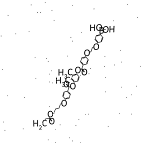 C=CC(=O)OCCCCOc1ccc(C(=O)Oc2ccc(OC(=O)c3ccc(OCCOc4ccc(B(O)O)cc4)cc3)c(C)c2C)cc1